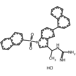 CC(NC(=N)N)c1cn(S(=O)(=O)c2ccc3ccccc3c2)c2ccc(-c3cccc4ccccc34)cc12.Cl